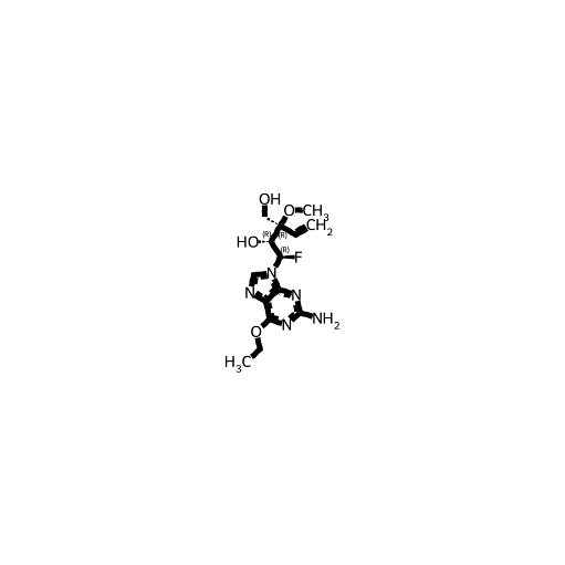 C=C[C@](CO)(OC)[C@@H](O)[C@@H](F)n1cnc2c(OCC)nc(N)nc21